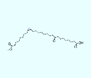 COC(=O)CCCCCCC/C=C\CCCCCCCCC(=O)CCCCCCCC(=O)O